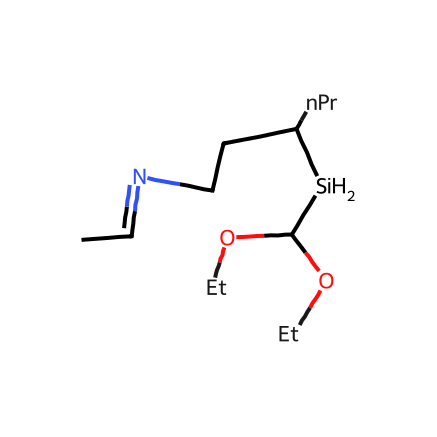 CC=NCCC(CCC)[SiH2]C(OCC)OCC